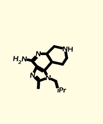 Cc1nc2c(n1CC(C)C)C1CCNCC1N=C2N